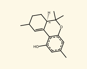 Cc1cc(O)c2c(c1)OC(C)(C)[C@@H]1CCC(C)C=C21